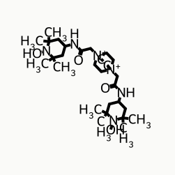 CC1(C)CC(NC(=O)C[N+]23CC[N+](CC(=O)NC4CC(C)(C)N(O)C(C)(C)C4)(CC2)CC3)CC(C)(C)N1O